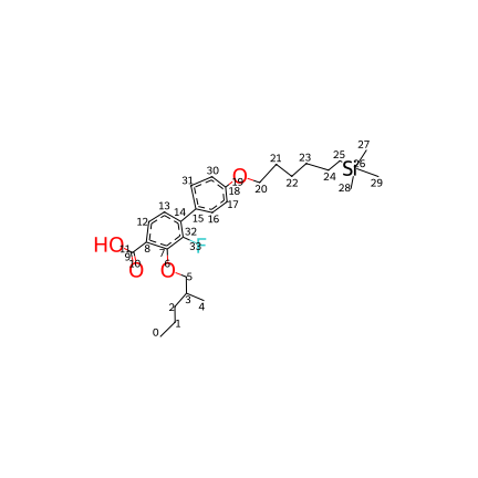 CCCC(C)COc1c(C(=O)O)ccc(-c2ccc(OCCCCCC[Si](C)(C)C)cc2)c1F